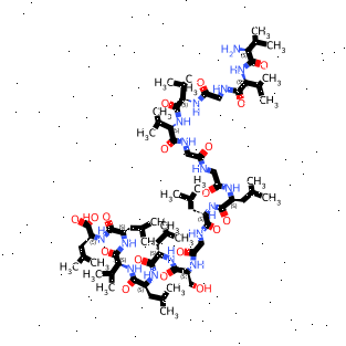 CC(C)C[C@H](NC(=O)[C@H](CC(C)C)NC(=O)[C@@H](NC(=O)[C@H](CC(C)C)NC(=O)[C@H](CC(C)C)NC(=O)[C@H](CO)NC(=O)CNC(=O)[C@H](CC(C)C)NC(=O)[C@H](CC(C)C)NC(=O)CNC(=O)CNC(=O)[C@@H](NC(=O)[C@@H](NC(=O)CNC(=O)[C@@H](NC(=O)[C@@H](N)C(C)C)C(C)C)C(C)C)C(C)C)C(C)C)C(=O)O